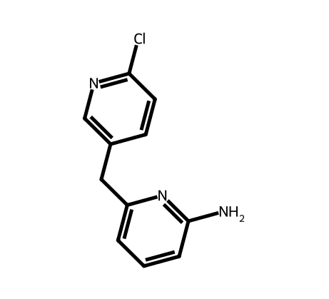 Nc1cccc(Cc2ccc(Cl)nc2)n1